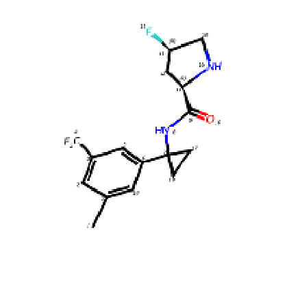 Cc1cc(C(F)(F)F)cc(C2(NC(=O)[C@H]3C[C@@H](F)CN3)CC2)c1